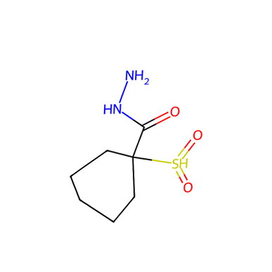 NNC(=O)C1([SH](=O)=O)CCCCC1